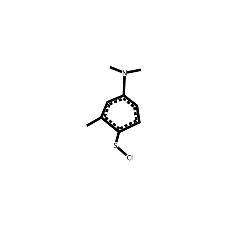 Cc1cc(N(C)C)ccc1SCl